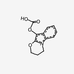 O=C(O)Oc1c2n(c3ccccc13)CCCO2